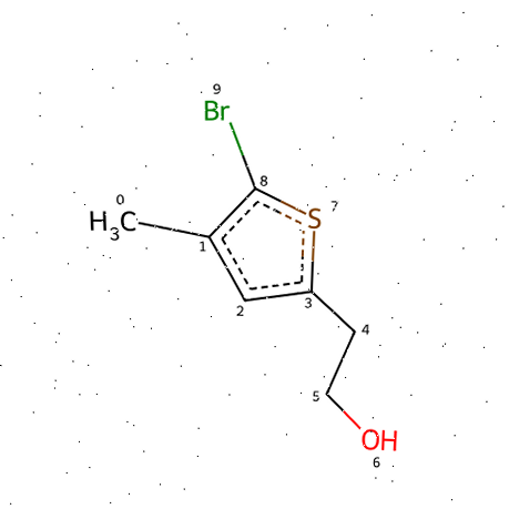 Cc1cc(CCO)sc1Br